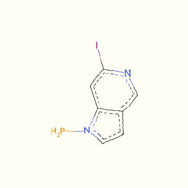 Pn1ccc2cnc(I)cc21